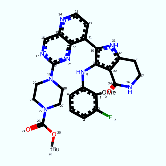 COc1c(F)cccc1Nc1c(-c2ccnc3cnc(N4CCN(C(=O)OC(C)(C)C)CC4)nc23)[nH]c2c1C(=O)NCC2